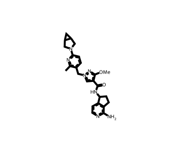 COc1nn(Cc2ccc(N3CC4CC4C3)nc2C)cc1C(=O)NC1CCc2c1ccnc2N